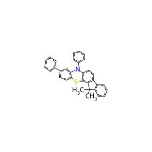 CC1(C)c2ccccc2-c2ccc3c(c21)Sc1ccc(-c2ccccc2)cc1N3c1ccccc1